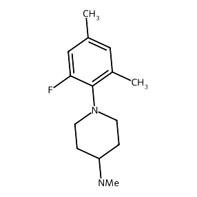 CNC1CCN(c2c(C)cc(C)cc2F)CC1